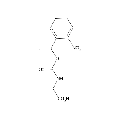 CC(OC(=O)NCC(=O)O)c1ccccc1[N+](=O)[O-]